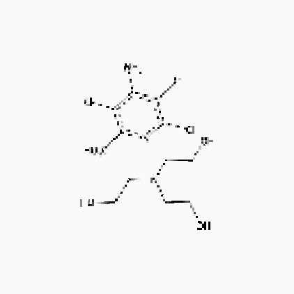 Nc1c(Cl)c(Cl)nc(C(=O)O)c1Cl.OCCN(CCO)CCO